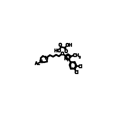 CC(=O)N1CCN(CCCCOc2cc(C)n(-c3ccc(Cl)c(Cl)c3)n2)CC1.O=C(O)C(=O)O